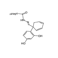 CCCCCCCC(=O)NN=CC1(c2ccc(O)cc2O)C=CC=CC1